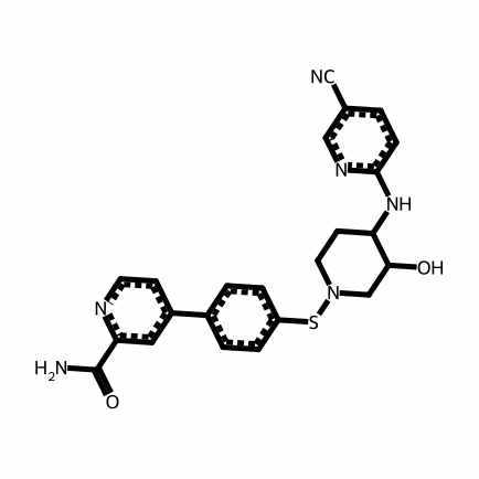 N#Cc1ccc(NC2CCN(Sc3ccc(-c4ccnc(C(N)=O)c4)cc3)CC2O)nc1